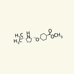 COC(=O)[C@H]1CC[C@H](OC[C@@H]2CC[C@H](C(C)C)N2)CC1